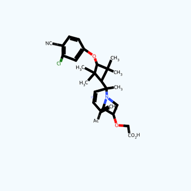 C=C(/C=C\C(C)(C1C(C)(C)C(Oc2ccc(C#N)c(Cl)c2)C1(C)C)N1CC(OCC(=O)O)C1)C(C)=O